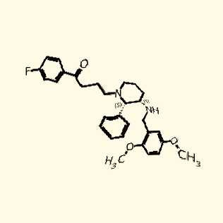 COc1ccc(OC)c(CN[C@H]2CCCN(CCCC(=O)c3ccc(F)cc3)[C@H]2c2ccccc2)c1